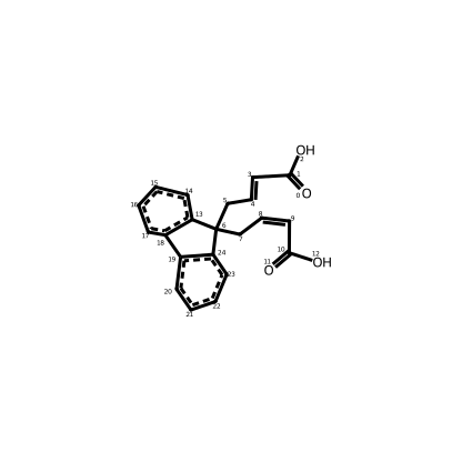 O=C(O)C=CCC1(CC=CC(=O)O)c2ccccc2-c2ccccc21